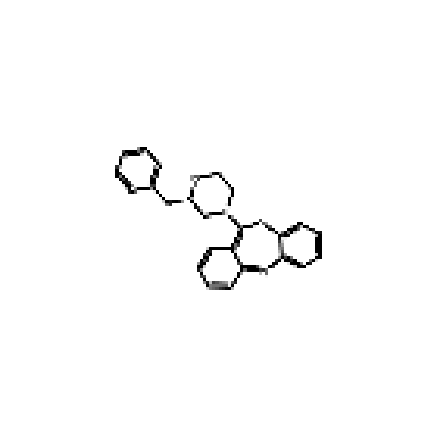 c1ccc(C[C@@H]2CN(C3=c4ccccc4=Nc4ccccc4S3)CCN2)cc1